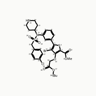 COC(=O)c1sc(-c2cccc(N(C3CCNCC3)S(=O)(=O)Cc3ccc(Cl)cc3)c2)c(Br)c1OCC(=O)OC(C)(C)C